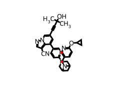 CC(C)(O)C#Cc1cc(-c2ccc(N3CC4CC(C3)N4Cc3ccc(OC4CC4)nc3)nc2)c2c(C#N)cnn2c1